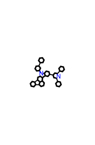 c1ccc(-c2cccc(-n3c4ccc(-c5cc(-c6ccccc6)nc(-c6ccccc6)c5)cc4c4c5cccc6c5c(cc43)-c3ccccc3-6)c2)cc1